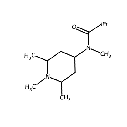 CC(C)C(=O)N(C)C1CC(C)N(C)C(C)C1